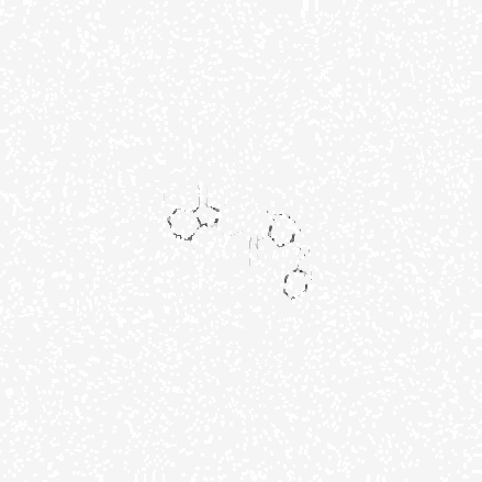 Cc1[nH]c2c(F)ccc(C)c2c1CCNc1cc(Nc2ccccn2)ncn1